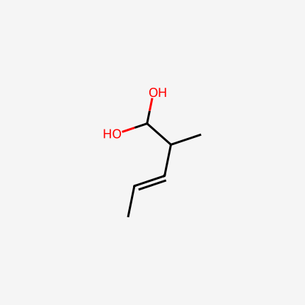 CC=CC(C)C(O)O